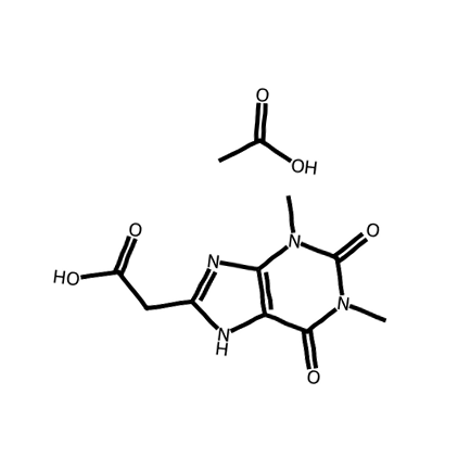 CC(=O)O.Cn1c(=O)c2[nH]c(CC(=O)O)nc2n(C)c1=O